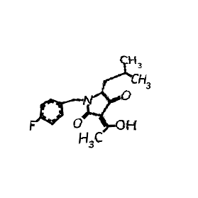 CC(O)=C1C(=O)[C@H](CC(C)C)N(Cc2ccc(F)cc2)C1=O